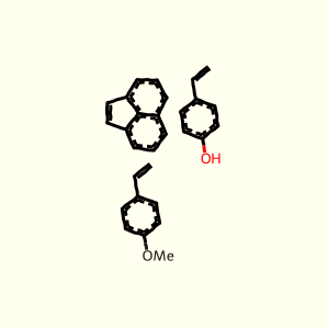 C1=Cc2cccc3cccc1c23.C=Cc1ccc(O)cc1.C=Cc1ccc(OC)cc1